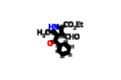 CCOC(=O)c1[nH]c(C)c(C(=O)c2ccccc2)c1C=O